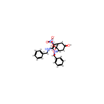 COC1(OC)C2CC(=O)CC1N(Cc1ccccc1)C(NCc1ccccc1)=C2[N+](=O)[O-]